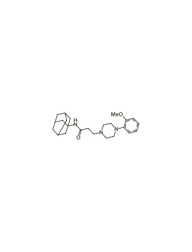 COc1ccccc1N1CCN(CCC(=O)NC23CC4CC(CC(C4)C2)C3)CC1